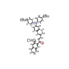 CC(C)(C)c1ccc(N(c2ccc(C(C)(C)C)cc2)c2ccc3c(c2)CCC(C=CC(=O)c2cc4ccccc4cc2C=O)=C3)cc1